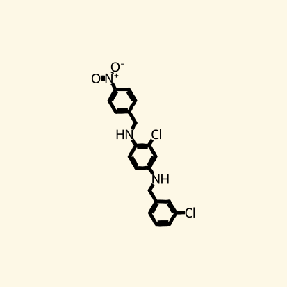 O=[N+]([O-])c1ccc(CNc2ccc(NCc3cccc(Cl)c3)cc2Cl)cc1